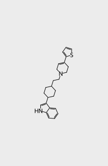 C1=C(c2cccs2)CCN(CCC2CCC(c3c[nH]c4ccccc34)CC2)C1